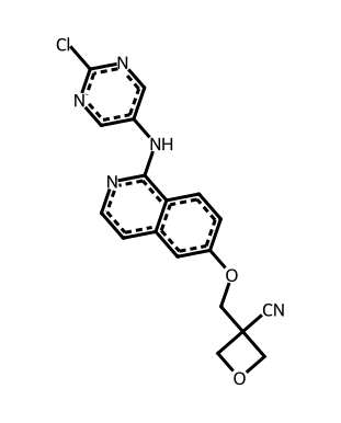 N#CC1(COc2ccc3c(Nc4cnc(Cl)nc4)nccc3c2)COC1